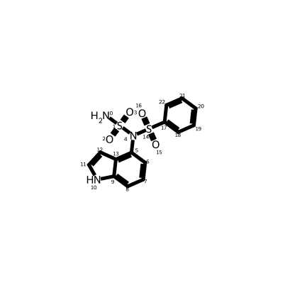 NS(=O)(=O)N(c1cccc2[nH]ccc12)S(=O)(=O)c1ccccc1